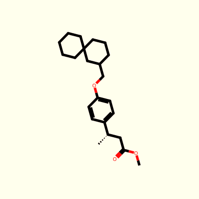 COC(=O)C[C@H](C)c1ccc(OCC2CCCC3(CCCCC3)C2)cc1